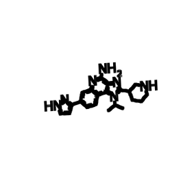 CC(C)n1c(C2CCCNC2)nc2c(N)nc3cc(-c4cc[nH]n4)ccc3c21